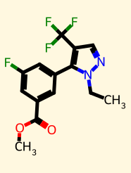 CCn1ncc(C(F)(F)F)c1-c1cc(F)cc(C(=O)OC)c1